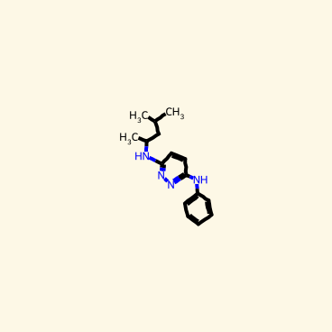 CC(C)CC(C)Nc1ccc(Nc2ccccc2)nn1